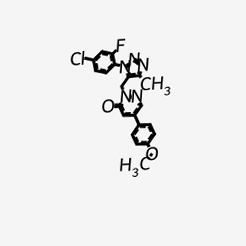 COc1ccc(-c2cnn(Cc3c(C)nnn3-c3ccc(Cl)cc3F)c(=O)c2)cc1